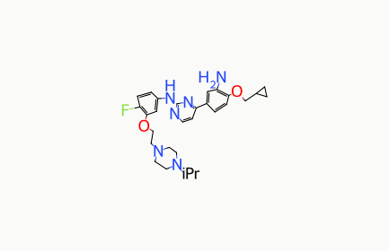 CC(C)N1CCN(CCOc2cc(Nc3nccc(-c4ccc(OCC5CC5)c(N)c4)n3)ccc2F)CC1